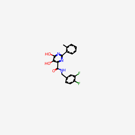 Cc1ccccc1-c1nc(O)c(O)c(C(=O)NCc2ccc(F)c(F)c2)n1